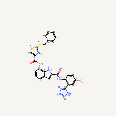 O=C(Nc1cccc2cc(C(=O)Nc3ccc(Br)cc3-c3nnn[nH]3)[nH]c12)c1csc(SCc2ccccc2)n1